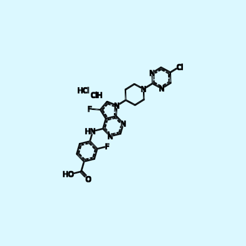 Cl.Cl.O=C(O)c1ccc(Nc2ncnc3c2c(F)cn3C2CCN(c3ncc(Cl)cn3)CC2)c(F)c1